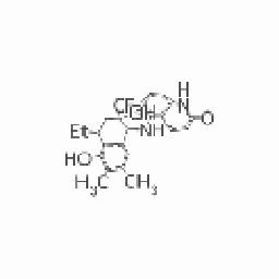 CC[C@H]1C[C@](O)(C(F)(F)F)[C@@H](Nc2cccc3[nH]c(=O)ccc23)c2cc(C)c(C)c(O)c21